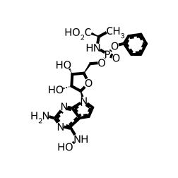 C[C@@H](NP(=O)(OC[C@H]1O[C@@H](n2ccc3c(NO)nc(N)nc32)[C@H](O)[C@@H]1O)Oc1ccccc1)C(=O)O